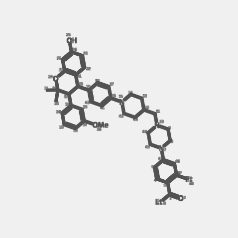 CCC(=O)c1ccc(N2CCN(CC3CCN(c4ccc(C5c6ccc(O)cc6OC(C)(C)C5c5cccc(OC)c5)cc4)CC3)CC2)cc1CC